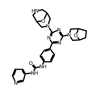 O=C(Nc1ccc(-c2nc(N3CC4CCC(C3)O4)nc(N3CC4CNCC(C3)O4)n2)cc1)Nc1cccnc1